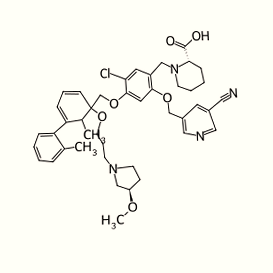 CO[C@@H]1CCN(CCCOC2(COc3cc(OCc4cncc(C#N)c4)c(CN4CCCC[C@H]4C(=O)O)cc3Cl)C=CC=C(c3ccccc3C)C2C)C1